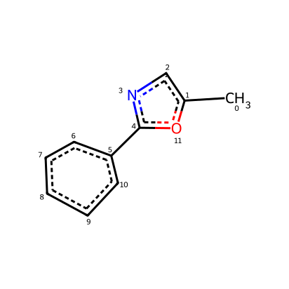 Cc1[c]nc(-c2ccccc2)o1